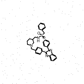 O=S(=O)(Cc1ccccc1)NCC1CCCN(Cc2ccc(-c3nc4ccccc4nc3-c3ccccc3)cc2)C1